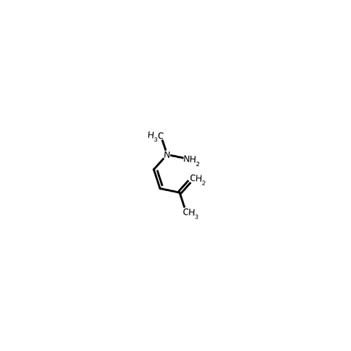 C=C(C)/C=C\N(C)N